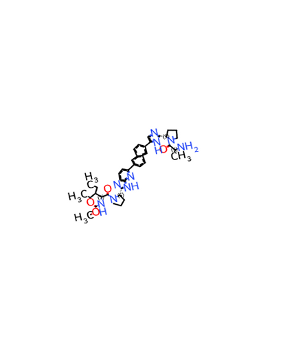 CCC(CC)[C@H](NC(=O)OC)C(=O)N1CCC[C@H]1c1nc2ccc(-c3ccc4cc(-c5cnc([C@@H]6CCCN6C(=O)[C@H](C)N)[nH]5)ccc4c3)nc2[nH]1